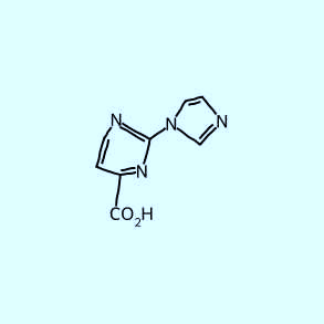 O=C(O)c1ccnc(-n2ccnc2)n1